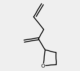 C=CCC(=C)[C]1CCO1